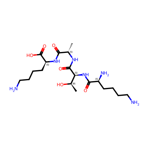 C[C@H](NC(=O)[C@@H](NC(=O)[C@@H](N)CCCCN)[C@@H](C)O)C(=O)N[C@@H](CCCCN)C(=O)O